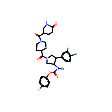 CCN(C(=O)Oc1ccc(F)cc1)C1CN(C(=O)C2CCN(C(=O)C3CCC(=O)NC3)CC2)CC1c1ccc(F)c(F)c1